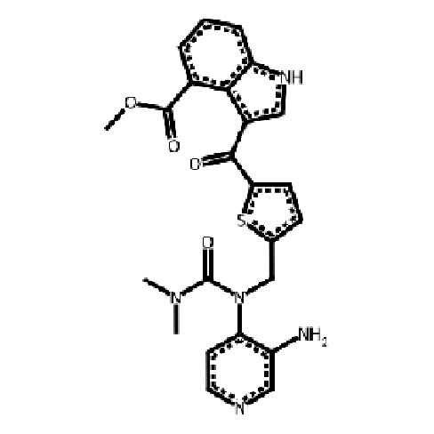 COC(=O)c1cccc2[nH]cc(C(=O)c3ccc(CN(C(=O)N(C)C)c4ccncc4N)s3)c12